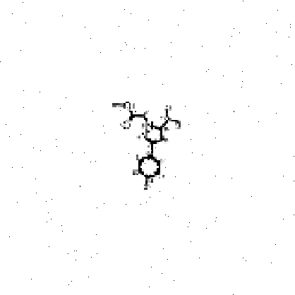 COC(=O)Cn1nc(-c2ccc(F)cc2)cc1C(C)C